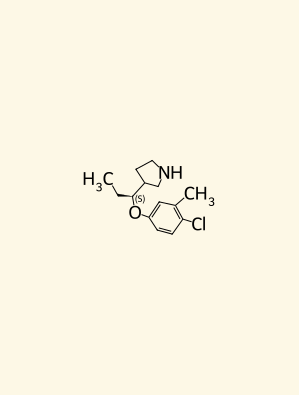 CC[C@H](Oc1ccc(Cl)c(C)c1)C1CCNC1